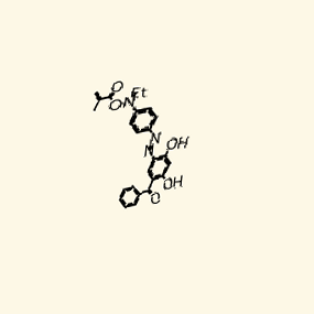 C=C(C)C(=O)ON(CC)c1ccc(N=Nc2cc(C(=O)c3ccccc3)c(O)cc2O)cc1